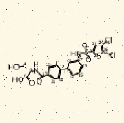 O=C(N[C@@H](CO)C(=O)O)c1ccc(-c2cccc(NS(=O)(=O)c3cc(Cl)c(Cl)s3)c2)cc1